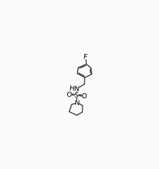 O=S(=O)(NCc1ccc(F)cc1)N1CCCCC1